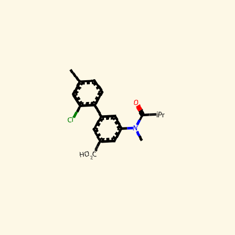 Cc1ccc(-c2cc(C(=O)O)cc(N(C)C(=O)C(C)C)c2)c(Cl)c1